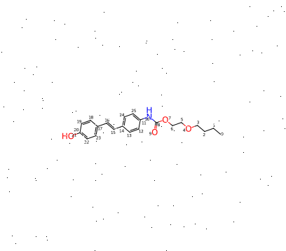 CCCCOCCOC(=O)Nc1ccc(C=Cc2ccc(O)cc2)cc1